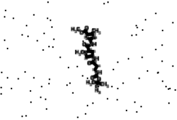 COC(=O)c1sc(NC(=O)c2cc(NC(=O)CCNC(=O)OC(C)(C)C)cn2C)nc1C